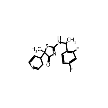 C[C@H](NC1=NC(=O)[C@](C)(C2C=CN=CC2)S1)c1ccc(F)cc1F